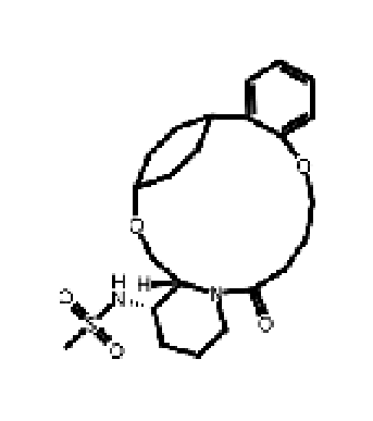 CS(=O)(=O)N[C@H]1CCCN2C(=O)CCCOc3ccccc3C3CCC(CC3)OC[C@@H]12